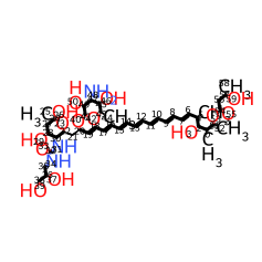 C[C@H]([C@H](O)[C@@H](C)/C=C/C=C/C=C/C=C/C=C/C=C/C=C/[C@@H](C[C@@H]1O[C@@](C)(O)C[C@H](O)[C@H]1NC(=O)NC[C@H](O)CO)O[C@@H]1O[C@H](C)[C@@H](O)[C@H](N)[C@@H]1O)[C@H](C)OC(=O)C[C@@H](C)O